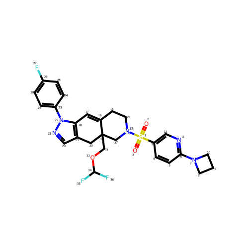 O=S(=O)(c1ccc(N2CCC2)nc1)N1CCC2=Cc3c(cnn3-c3ccc(F)cc3)CC2(COC(F)F)C1